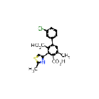 Cc1nc(-c2c(C(=O)O)c(C)cc(-c3cccc(Cl)c3)c2C(=O)O)cs1